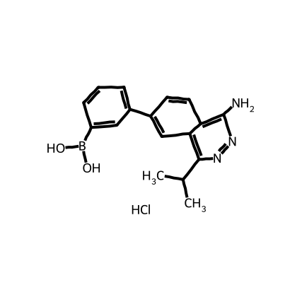 CC(C)c1nnc(N)c2ccc(-c3cccc(B(O)O)c3)cc12.Cl